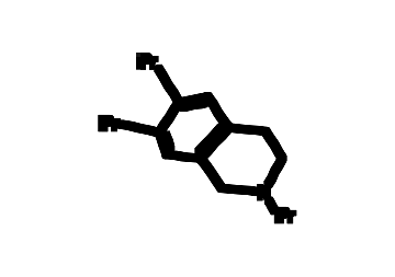 CC(C)c1cc2c(cc1C(C)C)CN(C(C)C)CC2